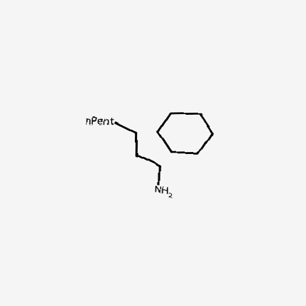 C1CCCCC1.CCCCCCCCN